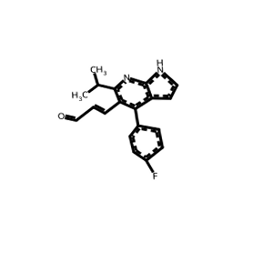 CC(C)c1nc2[nH]ccc2c(-c2ccc(F)cc2)c1/C=C/C=O